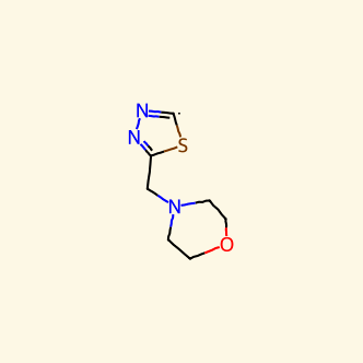 [c]1nnc(CN2CCOCC2)s1